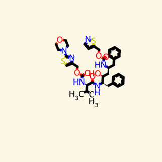 CC(C)[C@H](NC(=O)OCc1csc(N2CCOCC2)n1)C(=O)N[C@@H](Cc1ccccc1)[C@@H](O)C[C@H](Cc1ccccc1)NC(=O)OCc1ccns1